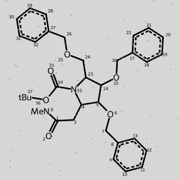 CNC(=O)CC1C(OCc2ccccc2)C(OCc2ccccc2)C(COCc2ccccc2)N1C(=O)OC(C)(C)C